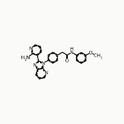 COc1cccc(NC(=O)Cc2ccc(-n3c(-c4cccnc4N)nc4cccnc43)cc2)c1